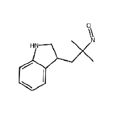 CC(C)(CC1CNc2ccccc21)N=O